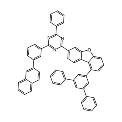 c1ccc(-c2cc(-c3ccccc3)cc(-c3cccc4oc5cc(-c6nc(-c7ccccc7)nc(-c7cccc(-c8ccc9ccccc9c8)c7)n6)ccc5c34)c2)cc1